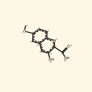 COc1ccc2nc(C(=O)O)c(O)cc2c1